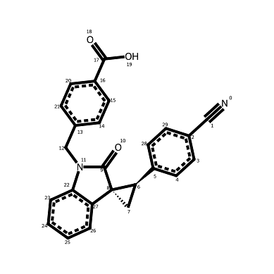 N#Cc1ccc([C@H]2C[C@]23C(=O)N(Cc2ccc(C(=O)O)cc2)c2ccccc23)cc1